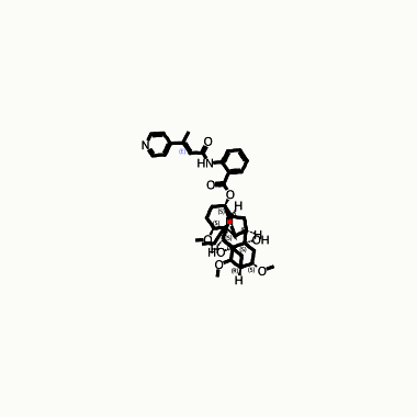 CCN1C[C@]2(OC(=O)c3ccccc3NC(=O)/C=C(\C)c3ccncc3)CC[C@H](OC)[C@]34C1[C@@H](C[C@H]23)[C@@]1(O)C[C@H](OC)[C@H]2C[C@@H]4[C@]1(O)C2OC